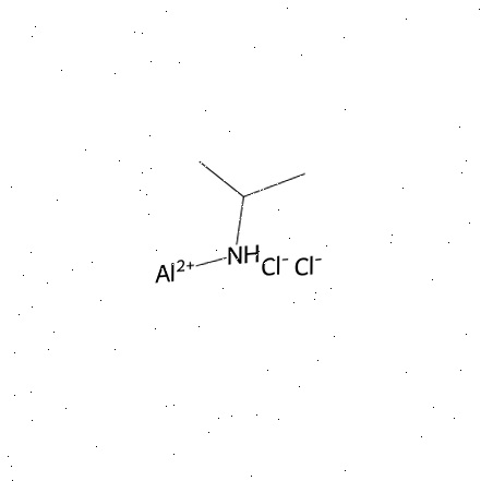 CC(C)[NH][Al+2].[Cl-].[Cl-]